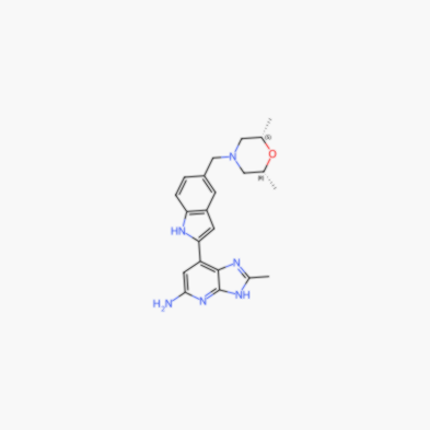 Cc1nc2c(-c3cc4cc(CN5C[C@@H](C)O[C@@H](C)C5)ccc4[nH]3)cc(N)nc2[nH]1